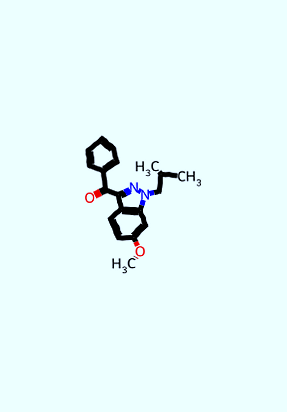 COc1ccc2c(C(=O)c3ccccc3)nn(CC(C)C)c2c1